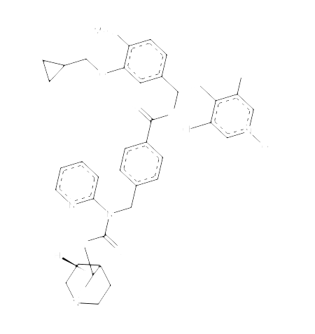 COc1ccc([C@H](Cc2c(Cl)c[n+]([O-])cc2Cl)OC(=O)c2ccc(CN(C(=O)O[C@H]3CN4CCC3CC4)c3ccccn3)cc2)cc1OCC1CC1